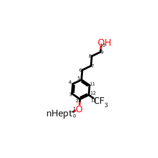 CCCCCCCOc1ccc(CCCCO)cc1C(F)(F)F